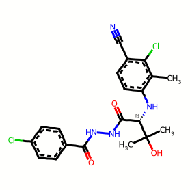 Cc1c(N[C@@H](C(=O)NNC(=O)c2ccc(Cl)cc2)C(C)(C)O)ccc(C#N)c1Cl